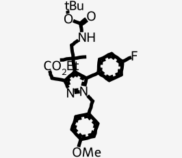 CCOC(=O)Cc1nn(Cc2ccc(OC)cc2)c(-c2ccc(F)cc2)c1C(C)(C)CNC(=O)OC(C)(C)C